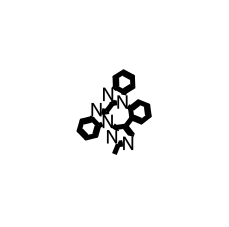 Cc1ncc2c3ccccc3n3c4ccccc4nc3c3nc4ccccc4n3c2n1